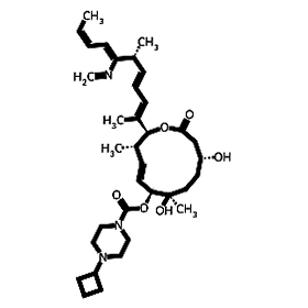 C=N/C(=C\C=C/C)[C@H](C)/C=C/C=C(\C)[C@H]1OC(=O)C[C@H](O)CC[C@@](C)(O)[C@@H](OC(=O)N2CCN(C3CCC3)CC2)/C=C/[C@@H]1C